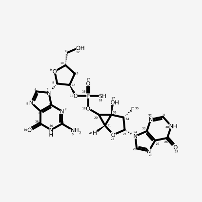 Nc1nc2c(ncn2[C@@H]2O[C@H](CO)C[C@H]2OP(=O)(S)OC2[C@H]3O[C@@H](n4cnc5c(=O)[nH]cnc54)[C@@H](F)[C@@]23O)c(=O)[nH]1